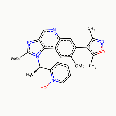 COc1cc2c(cc1-c1c(C)noc1C)ncc1nc(SC)n([C@H](C)c3cccc[n+]3O)c12